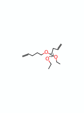 C=CCCCO[Si](CC=C)(OCC)OCC